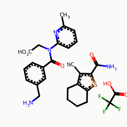 Cc1cccc(N(CC(=O)O)C(=O)c2cccc(CN)c2)n1.N#Cc1c(C(N)=O)sc2c1CCCC2.O=C(O)C(F)(F)F